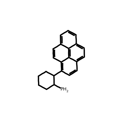 PC1CCCCC1c1ccc2ccc3cccc4ccc1c2c34